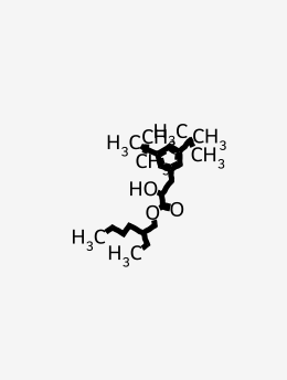 CCCCC(CC)COC(=O)C(O)Cc1cc(C(C)(C)C)cc(C(C)(C)C)c1